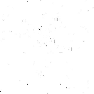 N#Cc1ccc(COC(c2ccc(Cl)cc2)C(Cl)N2C=CN(CC3OCc4cc(Cl)ccc43)C2OC(=O)c2ccc(N)cc2O)cc1